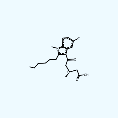 CCCCCCc1c(C(=O)C[C@H](C)CC(=O)O)c2cc(Cl)ccc2n1C